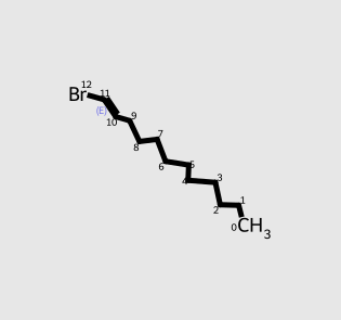 CCCCCCCCCC/C=C/Br